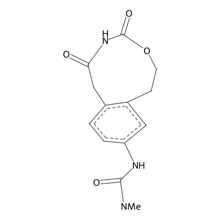 CNC(=O)Nc1ccc2c(c1)CCOC(=O)NC(=O)C2